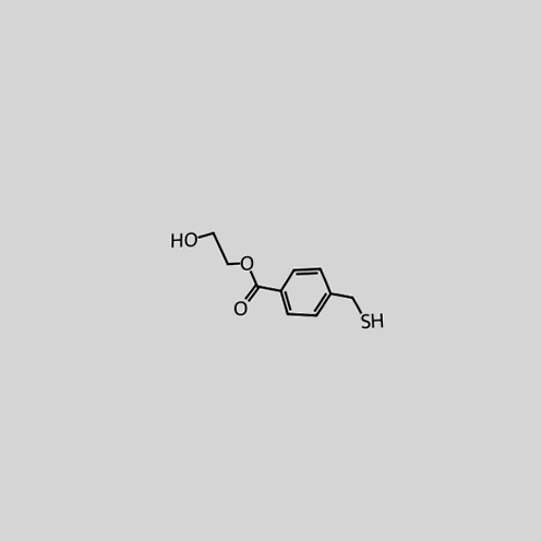 O=C(OCCO)c1ccc(CS)cc1